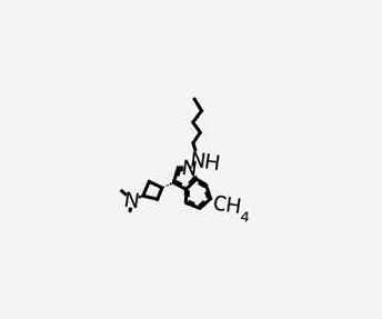 C.CCCCCNn1cc([C@H]2C[C@H](N(C)C)C2)c2ccccc21